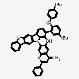 C=C1C=C(c2ccccc2)Sc2cc3c(cc21)Bc1c(-c2cc(C(C)(C)C)ccc2Nc2ccc(C(C)(C)C)cc2)ccc2c4cc5oc6ccccc6c5cc4n-3c12